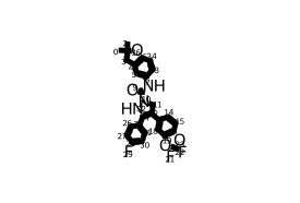 CC1(C)Cc2cc(NC(=O)N3CC(c4ccc5c(c4)OC(F)(F)O5)=C(c4ccc(F)cc4)N3)ccc2O1